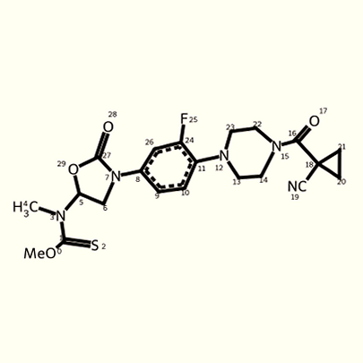 COC(=S)N(C)C1CN(c2ccc(N3CCN(C(=O)C4(C#N)CC4)CC3)c(F)c2)C(=O)O1